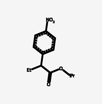 CCC(C(=O)OC(C)C)c1ccc([N+](=O)[O-])cc1